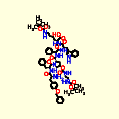 CC(C)(C)OC(=O)NCCCC[C@H](NC(=O)[C@@H](Cc1c[nH]c2ccccc12)NC(=O)[C@@H](NC(=O)[C@@H]1C[C@@H](OC(=O)NCCNC(=O)OC(C)(C)C)CN1C(=O)[C@H](Cc1ccccc1)NC(=O)[C@@H](N)Cc1ccc(OCc2ccccc2)cc1)c1ccccc1)C(=O)O